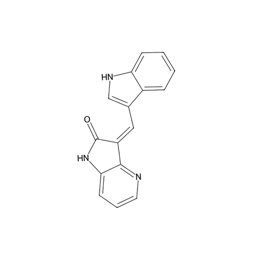 O=C1Nc2cccnc2C1=Cc1c[nH]c2ccccc12